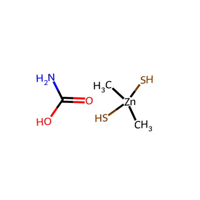 NC(=O)O.[CH3][Zn]([CH3])([SH])[SH]